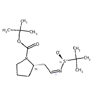 CC(C)(C)OC(=O)N1CCC[C@H]1C/C=N\[S@@+]([O-])C(C)(C)C